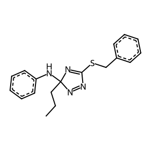 CCCC1(Nc2ccccc2)N=NC(SCc2ccccc2)=N1